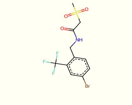 CS(=O)(=O)CC(=O)NCc1ccc(Br)cc1C(F)(F)F